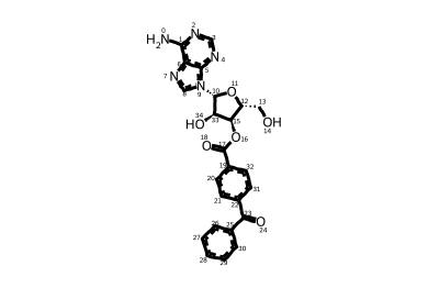 Nc1ncnc2c1ncn2[C@@H]1O[C@H](CO)[C@@H](OC(=O)c2ccc(C(=O)c3ccccc3)cc2)[C@H]1O